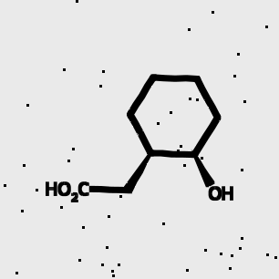 O=C(O)C[C@H]1CCCC[C@H]1O